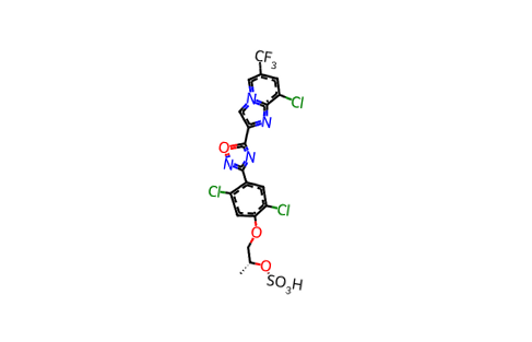 C[C@H](COc1cc(Cl)c(-c2noc(-c3cn4cc(C(F)(F)F)cc(Cl)c4n3)n2)cc1Cl)OS(=O)(=O)O